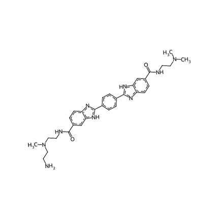 CN(C)CCNC(=O)c1ccc2nc(-c3ccc(-c4nc5ccc(C(=O)NCCN(C)CCN)cc5[nH]4)cc3)[nH]c2c1